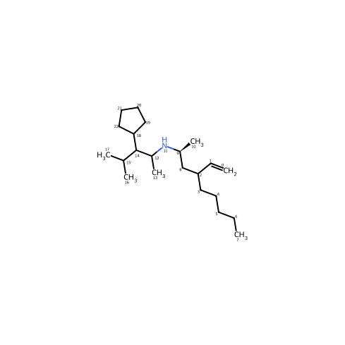 C=CC(CCCCC)C[C@H](C)NC(C)C(C(C)C)C1CCCC1